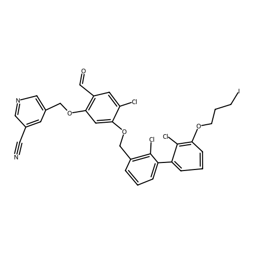 N#Cc1cncc(COc2cc(OCc3cccc(-c4cccc(OCCCI)c4Cl)c3Cl)c(Cl)cc2C=O)c1